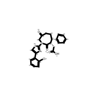 O=C(O)C[C@@H]1C(=O)N(c2nc(-c3ccccc3Cl)cs2)CC(=O)CC[C@@H]1c1ccccc1